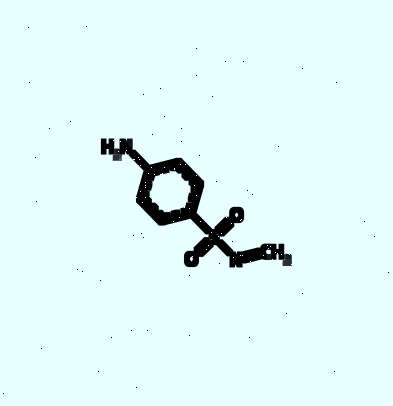 C=NS(=O)(=O)c1ccc(N)cc1